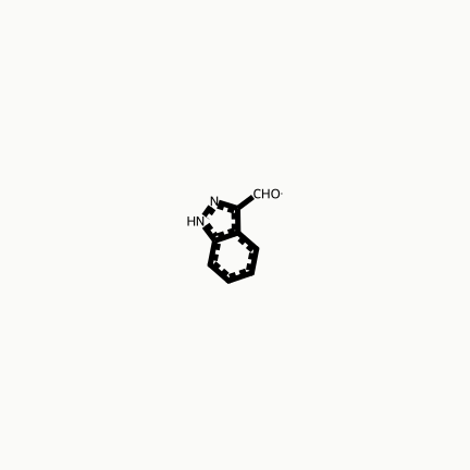 O=[C]c1n[nH]c2ccccc12